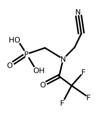 N#CCN(CP(=O)(O)O)C(=O)C(F)(F)F